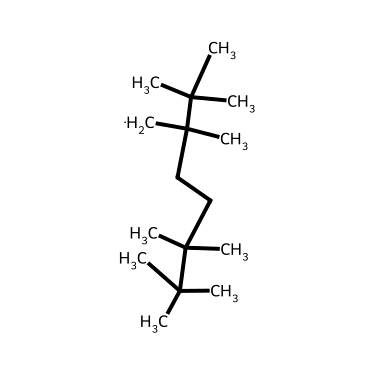 [CH2]C(C)(CCC(C)(C)C(C)(C)C)C(C)(C)C